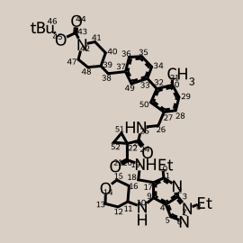 CCc1nc2c(cnn2CC)c(NC2CCOCC2)c1CNC(=O)C1(C(=O)NCc2ccc(C)c(-c3cccc(CC4CCN(C(=O)OC(C)(C)C)CC4)c3)c2)CC1